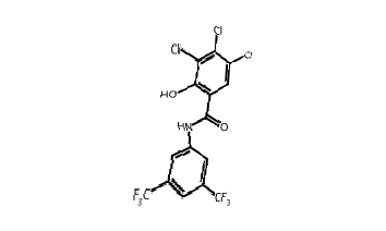 O=C(Nc1cc(C(F)(F)F)cc(C(F)(F)F)c1)c1cc(Cl)c(Cl)c(Cl)c1O